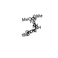 COc1cc(OC)c(F)c(COc2cnc(Nc3cnn(C4CCN(C(=O)OC(C)(C)C)CC4)c3)nc2)c1F